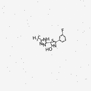 Cc1nnc(-c2sc(-c3cccc(F)c3)nc2O)[nH]1